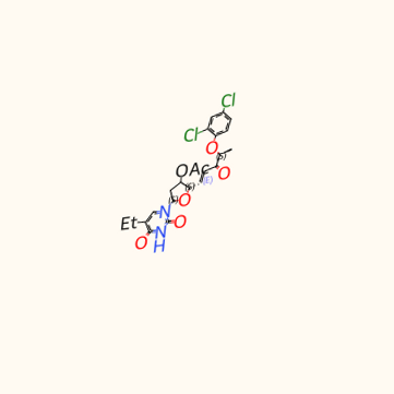 CCc1cn([C@@H]2CC(OC(C)=O)[C@H](/C=C/C(=O)[C@H](C)Oc3ccc(Cl)cc3Cl)O2)c(=O)[nH]c1=O